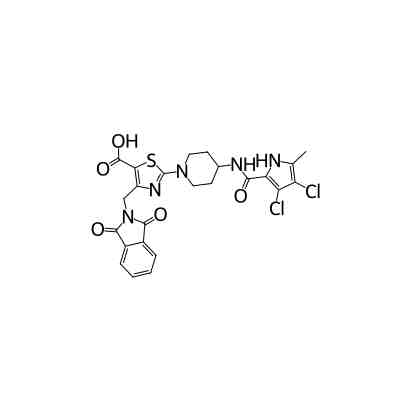 Cc1[nH]c(C(=O)NC2CCN(c3nc(CN4C(=O)c5ccccc5C4=O)c(C(=O)O)s3)CC2)c(Cl)c1Cl